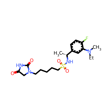 CCN(C)c1cc([C@@H](C)NS(=O)(=O)CCCCCN2CC(=O)NC2=O)ccc1F